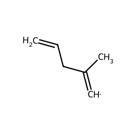 [CH]=C(C)CC=C